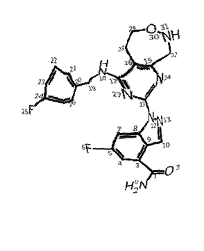 NC(=O)c1cc(F)cc2c1cnn2-c1nc2c(c(NCc3cccc(F)c3)n1)CCONC2